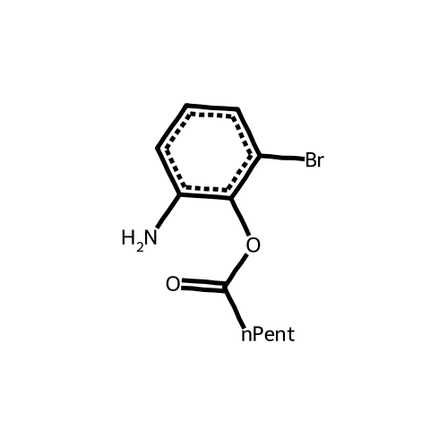 CCCCCC(=O)Oc1c(N)cccc1Br